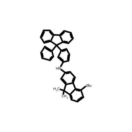 CC(C)(C)c1cccc2c1-c1ccc(Nc3cccc(C4(c5ccccc5)c5ccccc5-c5ccccc54)c3)cc1C2(C)C